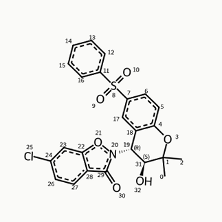 CC1(C)Oc2ccc(S(=O)(=O)c3ccccc3)cc2[C@@H](n2oc3cc(Cl)ccc3c2=O)[C@@H]1O